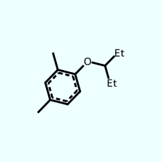 CCC(CC)Oc1ccc(C)cc1C